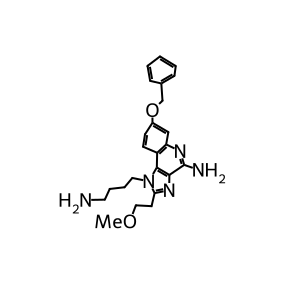 COCCc1nc2c(N)nc3cc(OCc4ccccc4)ccc3c2n1CCCCN